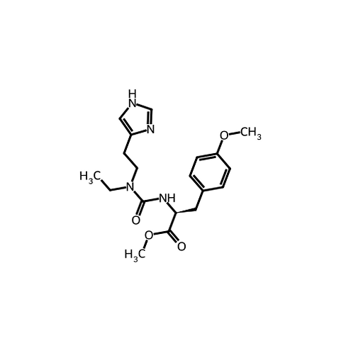 CCN(CCc1c[nH]cn1)C(=O)N[C@@H](Cc1ccc(OC)cc1)C(=O)OC